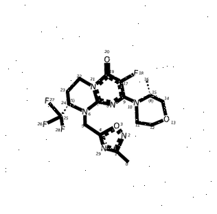 Cc1noc(CN2c3nc(N4CCOC[C@H]4C)c(F)c(=O)n3CC[C@H]2C(F)(F)F)n1